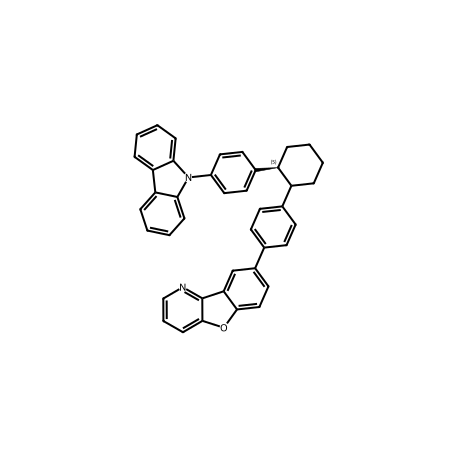 c1cnc2c(c1)oc1ccc(-c3ccc(C4CCCC[C@@H]4c4ccc(-n5c6ccccc6c6ccccc65)cc4)cc3)cc12